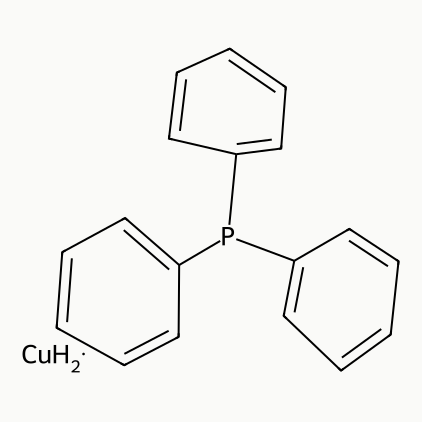 [CuH2].c1ccc(P(c2ccccc2)c2ccccc2)cc1